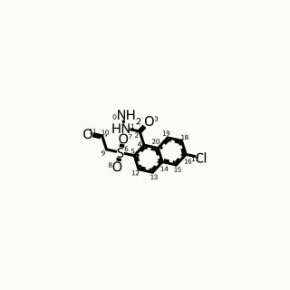 NNC(=O)c1c(S(=O)(=O)C[C]=O)ccc2cc(Cl)ccc12